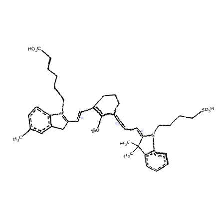 Cc1ccc2c(c1)CC(/C=C/C1=C(C(C)(C)C)C(=C/C=C3/N(CCCCS(=O)(=O)O)c4ccccc4C3(C)C)/CCC1)=[N+]2CCCCCC(=O)O